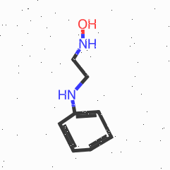 ONCCNc1ccccc1